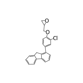 Clc1cc(-c2cccc3c2Cc2ccccc2-3)ccc1OCC1CO1